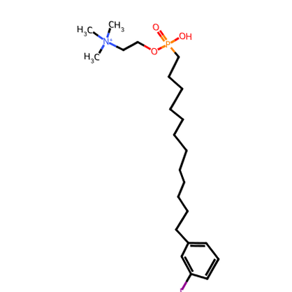 C[N+](C)(C)CCOP(=O)(O)CCCCCCCCCCCCc1cccc(I)c1